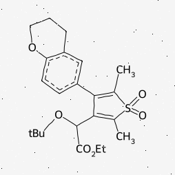 CCOC(=O)C(OC(C)(C)C)C1=C(C)S(=O)(=O)C(C)=C1c1ccc2c(c1)CCCO2